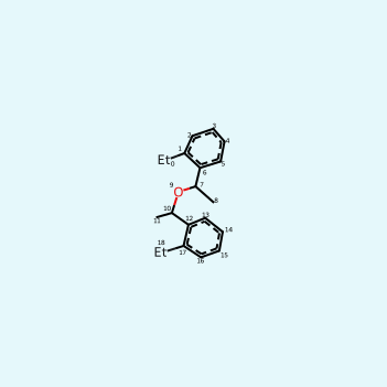 CCc1ccccc1C(C)OC(C)c1ccccc1CC